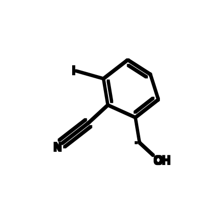 N#Cc1c(I)cccc1[CH]O